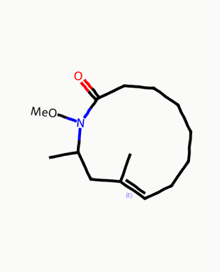 CON1C(=O)CCCCCC/C=C(\C)CC1C